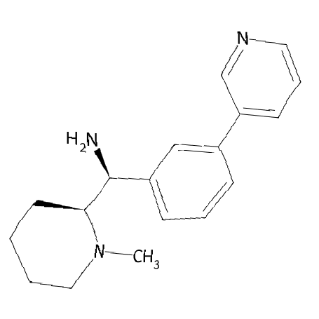 CN1CCCC[C@H]1[C@@H](N)c1cccc(-c2cccnc2)c1